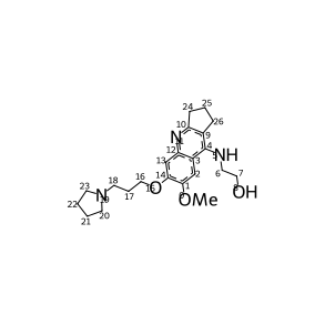 COc1cc2c(NCCO)c3c(nc2cc1OCCCN1CCCC1)CCC3